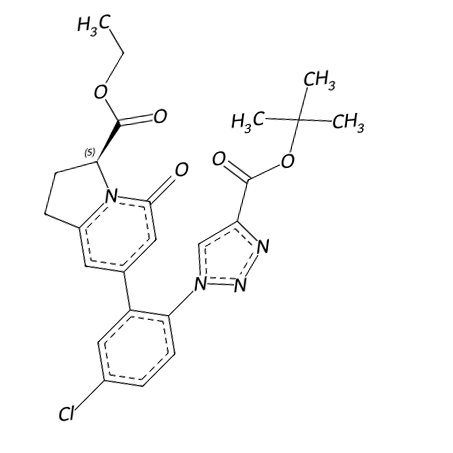 CCOC(=O)[C@@H]1CCc2cc(-c3cc(Cl)ccc3-n3cc(C(=O)OC(C)(C)C)nn3)cc(=O)n21